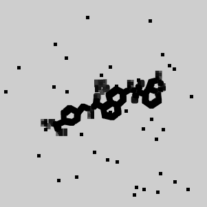 Cl.N=C(N)c1ccc(CNC(=O)c2cccc3cc(NS(=O)(=O)C4=CC=CN5SNC=C45)ccc23)cc1.O